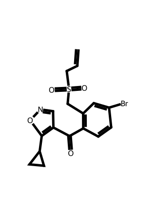 C=CCS(=O)(=O)Cc1cc(Br)ccc1C(=O)c1cnoc1C1CC1